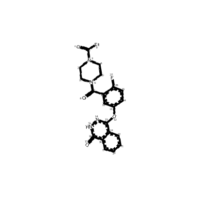 CCC(=O)N1CCN(C(=O)c2cc(Oc3n[nH]c(=O)c4ccccc34)ccc2F)CC1